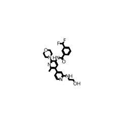 Cc1nc(N2CCOCC2)c(NC(=O)c2cccc(C(F)F)c2)cc1-c1ccnc(NCCO)c1